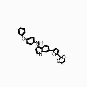 c1ccc(Oc2ccc(Nc3ccnc4cc(-c5ccc(C6OCCO6)o5)ccc34)cc2)cc1